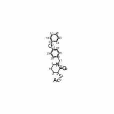 CC(=O)SC1CCCN(Cc2ccc(Oc3ccccc3)cc2)C1=O